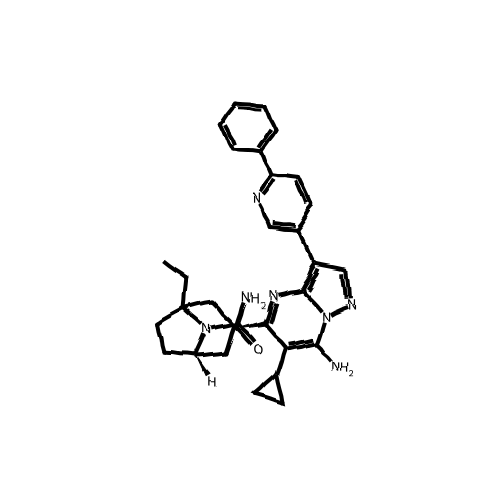 CCC12CC[C@@H](C[C@H](c3nc4c(-c5ccc(-c6ccccc6)nc5)cnn4c(N)c3C3CC3)C1)N2C(N)=O